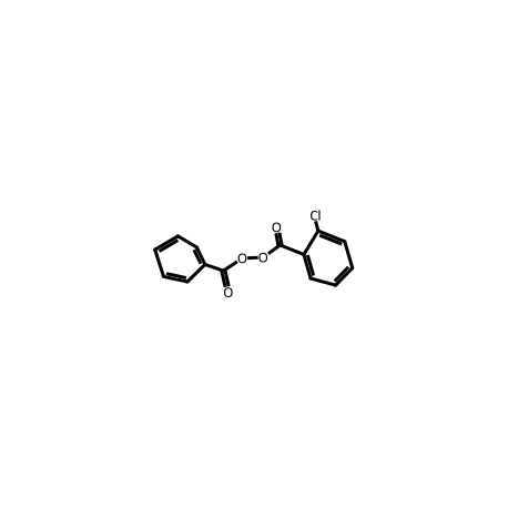 O=C(OOC(=O)c1ccccc1Cl)c1ccccc1